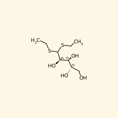 CCSC(SCC)[C@H](O)[C@@H](O)[C@@H](O)CO